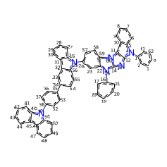 c1ccc(-n2c3ccccc3c3c2nc2n(-c4ccccc4)c4cc(-n5c6ccccc6c6cc(-c7ccc(-n8c9ccccc9c9ccccc98)cc7)ccc65)ccc4n32)cc1